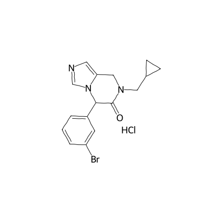 Cl.O=C1C(c2cccc(Br)c2)n2cncc2CN1CC1CC1